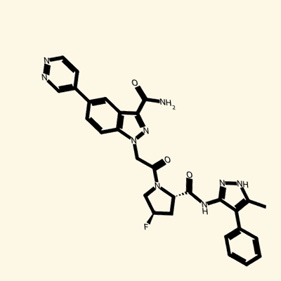 Cc1[nH]nc(NC(=O)[C@@H]2C[C@@H](F)CN2C(=O)Cn2nc(C(N)=O)c3cc(-c4ccnnc4)ccc32)c1-c1ccccc1